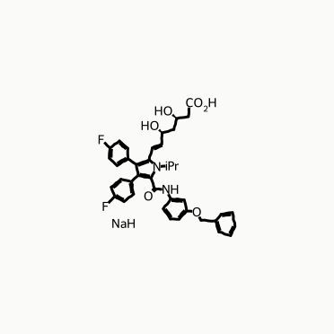 CC(C)n1c(/C=C/[C@@H](O)C[C@@H](O)CC(=O)O)c(-c2ccc(F)cc2)c(-c2ccc(F)cc2)c1C(=O)Nc1cccc(OCc2ccccc2)c1.[NaH]